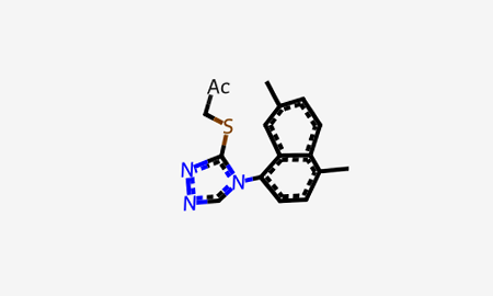 CC(=O)CSc1nncn1-c1ccc(C)c2ccc(C)cc12